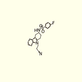 N#CCCn1c2c(c3ccccc31)CC(NS(=O)(=O)c1ccc(F)cc1)CC2